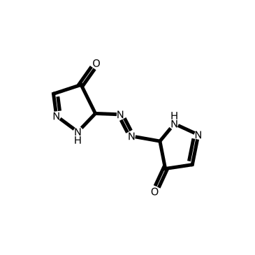 O=C1C=NNC1/N=N/C1NN=CC1=O